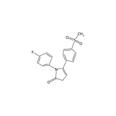 CS(=O)(=O)c1ccc(C2=CCC(=O)N2c2ccc(F)cc2)cc1